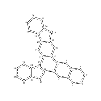 c1ccc2cc3c(cc2c1)c1cc2oc4ccccc4c2cc1n1c2ccccc2nc31